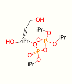 CC(C)OP(=O)(OC(C)C)OP(=O)(OC(C)C)OC(C)C.OCC#CCO